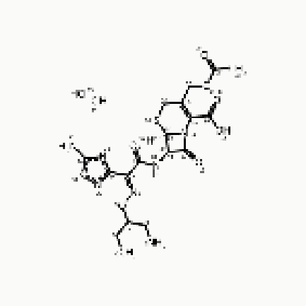 CCC(CN)ON=C(C(=O)N[C@@H]1C(=O)N2C(C(=O)O)=C(COC(C)=O)CS[C@H]12)c1nsc(N)n1.Cl.Cl